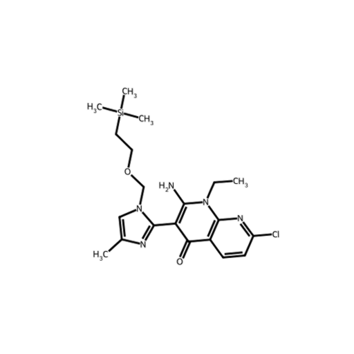 CCn1c(N)c(-c2nc(C)cn2COCC[Si](C)(C)C)c(=O)c2ccc(Cl)nc21